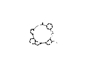 COc1ncc2cc1NS(=O)(=O)c1cccc(c1)C(=O)NCc1ccc(s1)-c1ccnc3cc-2sc13